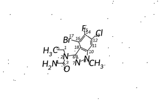 CCN(C(N)=O)c1nn(C)c2cc(Cl)c(F)c(Br)c12